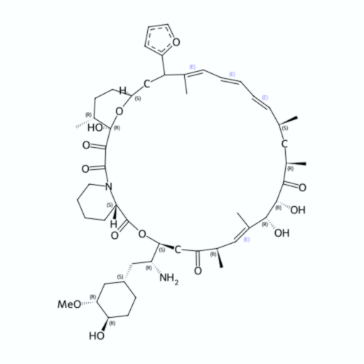 CO[C@@H]1C[C@H](C[C@@H](N)[C@@H]2CC(=O)[C@H](C)/C=C(\C)[C@@H](O)[C@@H](O)C(=O)[C@H](C)C[C@H](C)/C=C/C=C/C=C(\C)C(c3ccco3)C[C@@H]3CC[C@@H](C)[C@@](O)(O3)C(=O)C(=O)N3CCCC[C@H]3C(=O)O2)CC[C@H]1O